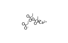 CCC(=O)[O-].CCC(=O)[O-].CCC(=O)[O-].[Ca+2].[K+]